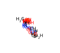 C=CCOC[C@@H](COP(=O)(O)OP(=O)(O)OP(=O)(O)O)O[C@H](CC)n1cc(C#CCNC(=O)OCC(=C)CCNC(=O)c2ccc(C(=O)O)c(C3=c4cc5c6c(c4Oc4c3cc3c7c4CCCC7CCC3)CCCC=6CCC5)c2)c2c(N)ncnc21